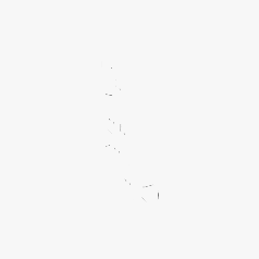 O=C(NC[C@H](O)CN1CCc2ccccc2C1)c1cn2c(n1)CCC(C(=O)NC1CC(F)(F)C1)C2